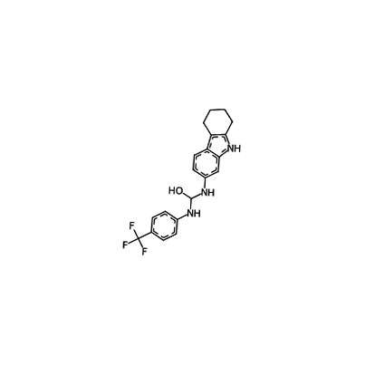 OC(Nc1ccc(C(F)(F)F)cc1)Nc1ccc2c3c([nH]c2c1)CCCC3